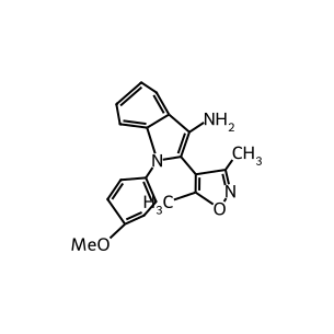 COc1ccc(-n2c(-c3c(C)noc3C)c(N)c3ccccc32)cc1